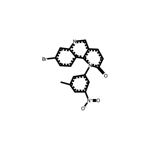 Cc1cc(-n2c(=O)ccc3cnc4cc(Br)ccc4c32)cc([N+](=O)[O-])c1